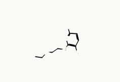 CCOCCNc1nc(Cl)ccc1N